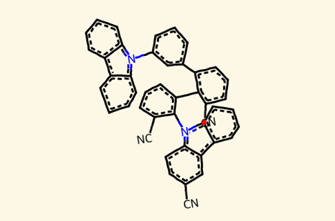 N#Cc1ccc2c(c1)c1ccccc1n2-c1c(C#N)cccc1-c1c(C#N)cccc1-c1cccc(-n2c3ccccc3c3ccccc32)c1